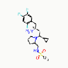 N[C@H](Cc1cc(F)c(F)cc1F)CC(C1CC1)N1CCCC1CNS(=O)(=O)C(F)(F)F